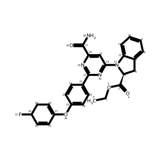 CCOC(=O)[C@@H]1Cc2ccccc2N1c1cc(C(N)=O)nc(-c2ccc(OC3=CCC(F)C=C3)cc2)n1